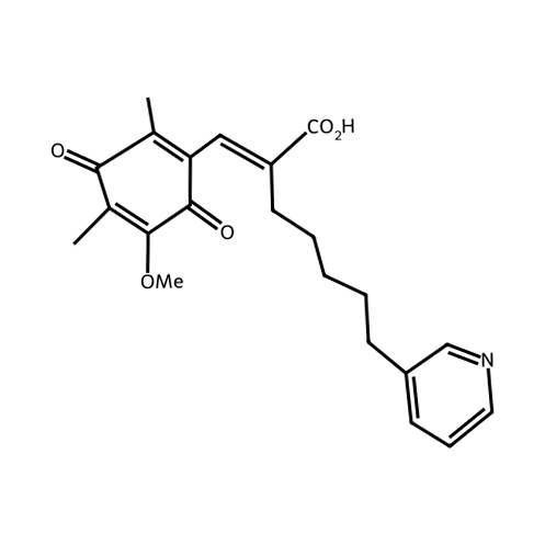 COC1=C(C)C(=O)C(C)=C(C=C(CCCCCc2cccnc2)C(=O)O)C1=O